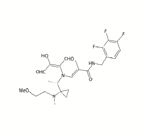 COCCN(C)C1([C@H](C)N(/C=C(\C)C(=O)NCc2ccc(F)c(F)c2F)/C(C=O)=C(/O)C=O)CC1